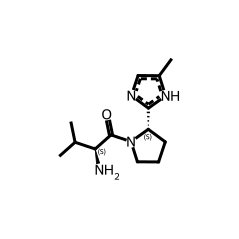 Cc1cnc([C@@H]2CCCN2C(=O)[C@@H](N)C(C)C)[nH]1